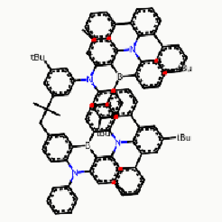 Cc1cc2c3c(c1)N(c1c(-c4ccccc4)cc(C(C)(C)C)cc1-c1ccccc1)c1ccccc1B3c1cc(CC(C)(C)c3cc(N4c5cc(C(C)(C)C)ccc5B5c6ccc(C(C)(C)C)cc6N(c6c(-c7ccccc7)cccc6-c6ccccc6)c6cc(C)cc4c65)cc(C(C)(C)C)c3)ccc1N2c1ccccc1